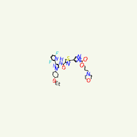 CCO[C@H]1CC[C@H](n2cc(NC(=O)c3csc(-c4cnn(C(=O)OCCCN5CCOCC5)c4)n3)c(-c3nc(F)ccc3F)n2)CC1